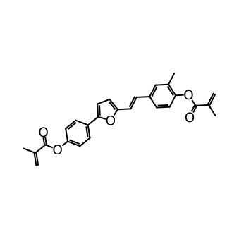 C=C(C)C(=O)Oc1ccc(-c2ccc(/C=C/c3ccc(OC(=O)C(=C)C)c(C)c3)o2)cc1